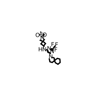 CS(=O)(=O)N1CC2(CC(Nc3cc(N4CCCC5(CCCCC5)C4)nc(C(F)(F)F)n3)C2)C1